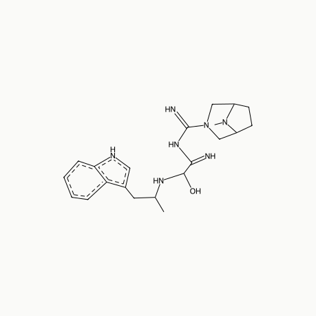 CC(Cc1c[nH]c2ccccc12)NC(O)C(=N)NC(=N)N1CC2CCC(C1)N2C